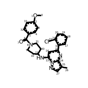 COc1ccc(C(=O)N2CCC(Nc3cc(-c4ccccc4Cl)nc4c(C)cnn34)CC2)cc1